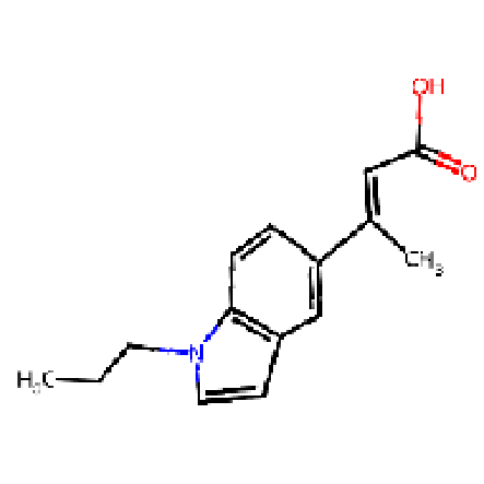 CCCn1ccc2cc(C(C)=CC(=O)O)ccc21